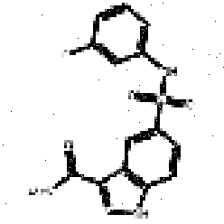 CNC(=O)c1n[nH]c2ccc(S(=O)(=O)Nc3cccc(F)c3)cc12